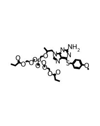 CCC(=O)OCOOP(=O)(COC(C)Cn1cnc2c(Sc3ccc(OC)cc3)nc(N)nc21)OOCOC(=O)CC